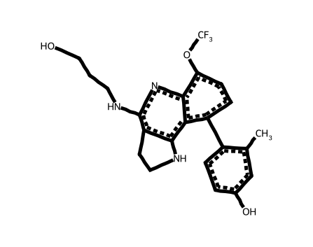 Cc1cc(O)ccc1-c1ccc(OC(F)(F)F)c2nc(NCCCO)c3c(c12)NCC3